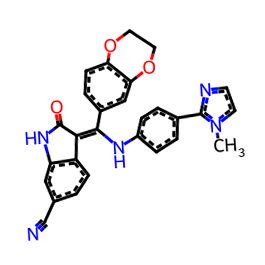 Cn1ccnc1-c1ccc(NC(=C2C(=O)Nc3cc(C#N)ccc32)c2ccc3c(c2)OCCO3)cc1